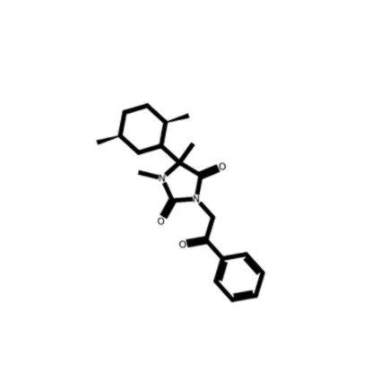 C[C@H]1CC[C@@H](C)C(C2(C)C(=O)N(CC(=O)c3ccccc3)C(=O)N2C)C1